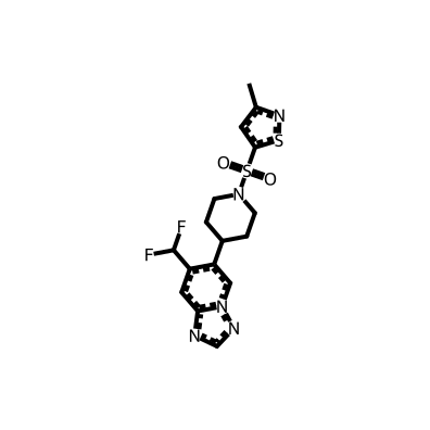 Cc1cc(S(=O)(=O)N2CCC(c3cn4ncnc4cc3C(F)F)CC2)sn1